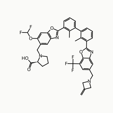 C=C1CN(Cc2cc(C(F)(F)F)c3oc(-c4cccc(-c5cccc(-c6nc7cc(CN8CCC[C@H]8C(=O)O)c(OC(F)F)cc7o6)c5C)c4C)nc3c2)C1